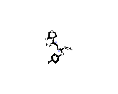 C=N/C(=N\C=C(/C)N1CCOCC1=O)Oc1ccc(F)cc1